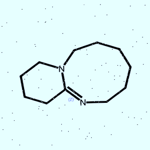 C1CCCN2CCCC/C2=N/CC1